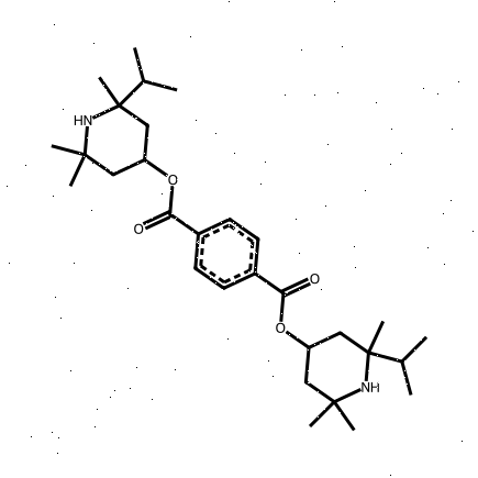 CC(C)C1(C)CC(OC(=O)c2ccc(C(=O)OC3CC(C)(C)NC(C)(C(C)C)C3)cc2)CC(C)(C)N1